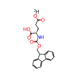 [2H]OC(=O)CC[C@@H](NC(=O)OCC1c2ccccc2-c2ccccc21)C(=O)O